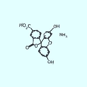 N.O=C(O)c1ccc2c(c1)C(=O)OC21c2ccc(O)cc2Oc2cc(O)ccc21